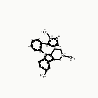 Cc1ccc2c(c1)c1c(n2-c2ccccc2-c2ccnn2C)CCN(C)C1